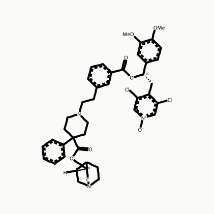 COc1ccc([C@H](Cc2c(Cl)c[n+]([O-])cc2Cl)OC(=O)c2cccc(CCN3CCC(C(=O)O[C@H]4CN5CCC4CC5)(c4ccccc4)CC3)c2)cc1OC